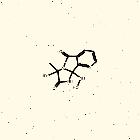 CC(C)C1(C)C(=O)NC2(NO)c3ncccc3C(=O)N21